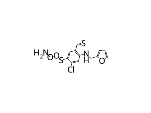 NOOSc1cc(C=S)c(NCc2ccco2)cc1Cl